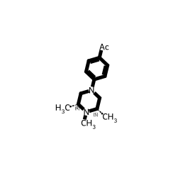 CC(=O)c1ccc(N2C[C@@H](C)N(C)[C@@H](C)C2)cc1